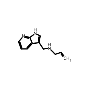 C=CCNCc1c[nH]c2ncccc12